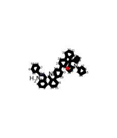 N/C(=C\[C@@H](c1ccccc1)C(N)c1ccccc1-c1ccc(-c2ccc3c(c2)C2(c4ccccc4-3)c3ccccc3N(c3ccccc3)c3ccccc32)cc1)c1ccccc1